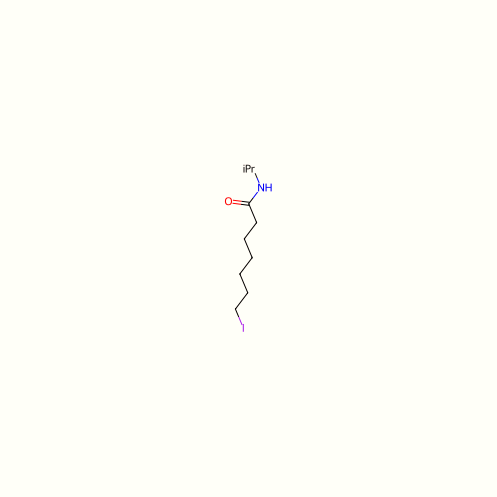 CC(C)NC(=O)CCCCCCI